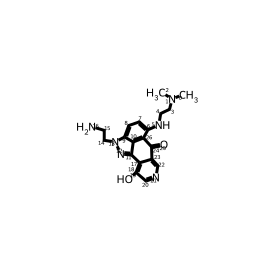 CN(C)CCNc1ccc2c3c(nn2CCN)-c2c(O)cncc2C(=O)c13